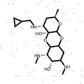 CNC1CC2OC3O[C@H](C)C[C@@H](NCC4CC4)[C@]3(O)OC2[C@@H](NC)[C@H]1O